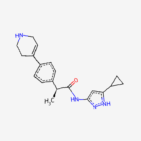 C[C@H](C(=O)Nc1cc(C2CC2)[nH]n1)c1ccc(C2=CCNCC2)cc1